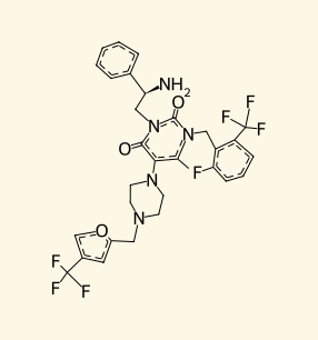 Cc1c(N2CCN(Cc3cc(C(F)(F)F)co3)CC2)c(=O)n(C[C@H](N)c2ccccc2)c(=O)n1Cc1c(F)cccc1C(F)(F)F